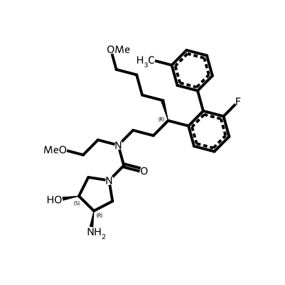 COCCCC[C@H](CCN(CCOC)C(=O)N1C[C@@H](N)[C@@H](O)C1)c1cccc(F)c1-c1cccc(C)c1